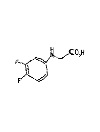 O=C(O)CNc1ccc(F)c(F)c1